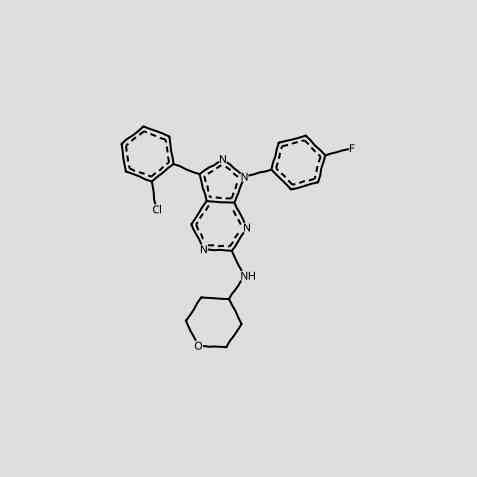 Fc1ccc(-n2nc(-c3ccccc3Cl)c3cnc(NC4CCOCC4)nc32)cc1